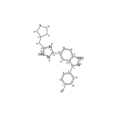 Fc1ccc(-c2n[nH]c3ccc(-c4n[nH]c(CC5CCCC5)n4)cc23)cc1